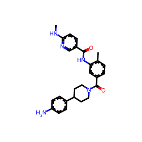 CNc1ccc(C(=O)Nc2cc(C(=O)N3CCC(c4ccc(N)cc4)CC3)ccc2C)cn1